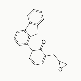 O=C1C(CC2CO2)=CC=CC1c1cccc2c1Cc1ccccc1-2